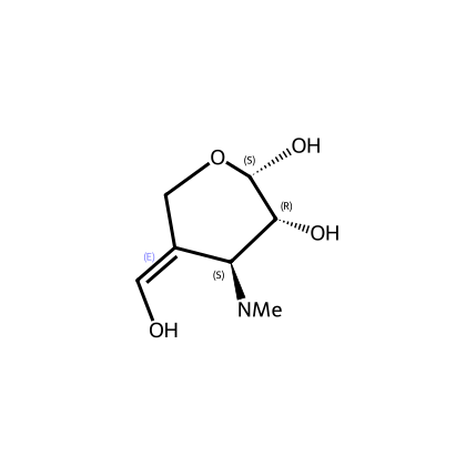 CN[C@H]1/C(=C\O)CO[C@H](O)[C@@H]1O